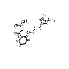 CCN(CC)CCCOc1ccccc1C(=O)OC(C)=O